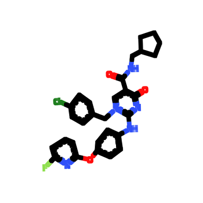 O=C(NCC1CCCC1)c1cn(Cc2ccc(Cl)cc2)c(Nc2ccc(Oc3cccc(F)n3)cc2)nc1=O